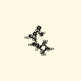 O=C(O)CC1Nc2ccc(C(=O)N(Cc3ccccc3)Cc3ncc[nH]3)cc2CN(CCCNC(=O)[C@H](CC(=O)O)NC(=O)CN2CCN(CC(=O)O)CCN(CC(=O)O)CCN(CC(=O)O)CC2)C1=O